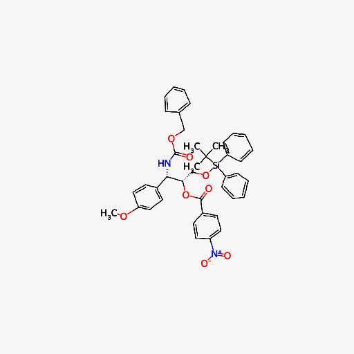 COc1ccc([C@H](NC(=O)OCc2ccccc2)[C@H](CO[Si](c2ccccc2)(c2ccccc2)C(C)(C)C)OC(=O)c2ccc([N+](=O)[O-])cc2)cc1